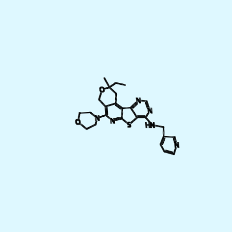 CCC1(C)Cc2c(c(N3CCOCC3)nc3sc4c(NCc5cccnc5)ncnc4c23)CO1